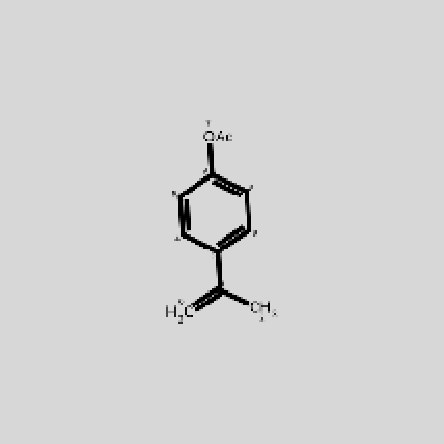 C=C(C)c1ccc(OC(C)=O)cc1